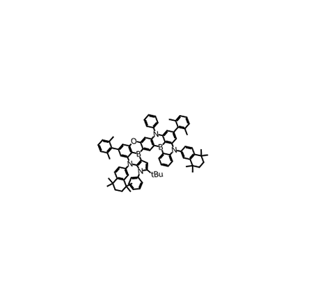 Cc1cccc(C)c1-c1cc2c3c(c1)N(c1ccc4c(c1)C(C)(C)CCC4(C)C)c1c(cc(C(C)(C)C)n1-c1ccccc1)B3c1cc3c(cc1O2)N(c1ccccc1)c1cc(-c2c(C)cccc2C)cc2c1B3c1ccccc1N2c1ccc2c(c1)C(C)(C)CCC2(C)C